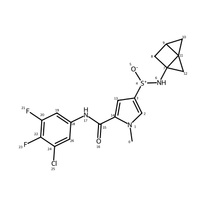 Cn1cc([S+]([O-])NC23CC4CC42C3)cc1C(=O)Nc1cc(F)c(F)c(Cl)c1